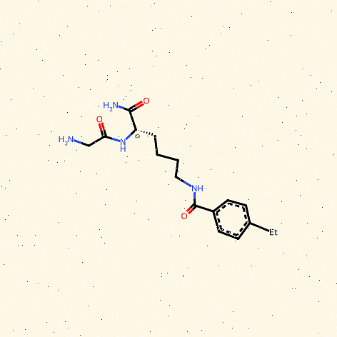 CCc1ccc(C(=O)NCCCC[C@H](NC(=O)CN)C(N)=O)cc1